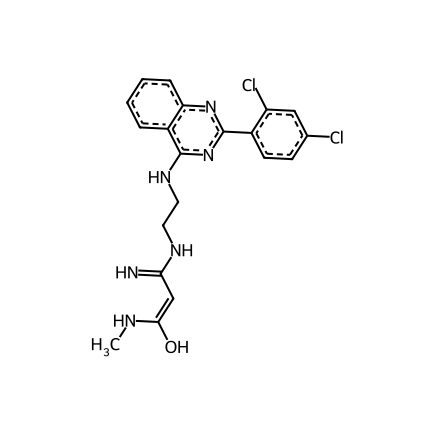 CN/C(O)=C\C(=N)NCCNc1nc(-c2ccc(Cl)cc2Cl)nc2ccccc12